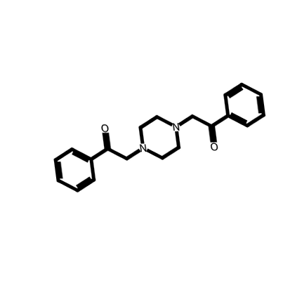 O=C(CN1CCN(CC(=O)c2ccccc2)CC1)c1ccccc1